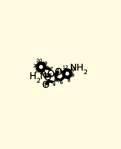 NOC(=O)C[C@@H](Cc1ccc(N)cc1)C(=O)OCc1ccccc1